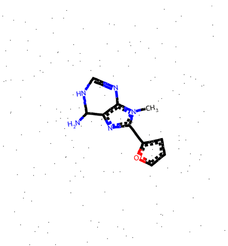 Cn1c(-c2ccco2)nc2c1N=CNC2N